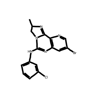 CC1CN2C(Nc3cccc(Cl)c3)=Nc3cc(Br)cnc3C2=N1